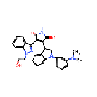 CN(C)c1cccc(N2CC(C3=C(c4nn(CCO)c5ccccc45)C(=O)NC3=O)c3ccccc32)c1